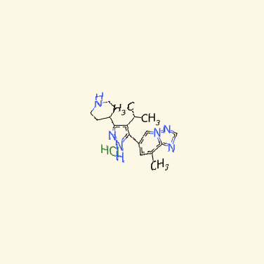 Cc1cc(-c2[nH]nc(C3CCNCC3)c2C(C)C)cn2ncnc12.Cl